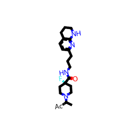 CC(=O)C(C)N1CCC(F)(C(=O)NCCCc2ccc3c(n2)NCCC3)CC1